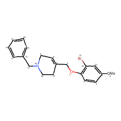 COc1ccc(OCC2=CCN(Cc3ccccc3)CC2)c(Br)c1